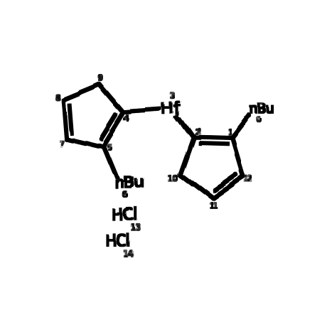 CCCCC1=[C]([Hf][C]2=C(CCCC)C=CC2)CC=C1.Cl.Cl